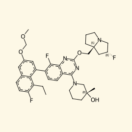 CCc1c(F)ccc2cc(OCOC)cc(-c3ccc4c(N5CCC[C@@](C)(O)C5)nc(OC[C@@]56CCCN5C[C@H](F)C6)nc4c3F)c12